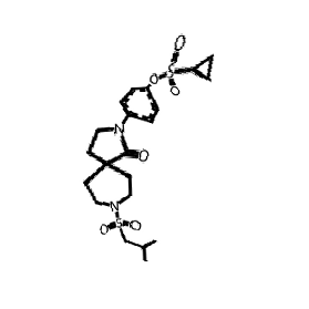 CC(C)CS(=O)(=O)N1CCC2(CCN(c3ccc(OS(=O)(=O)C4CC4)cc3)C2=O)CC1